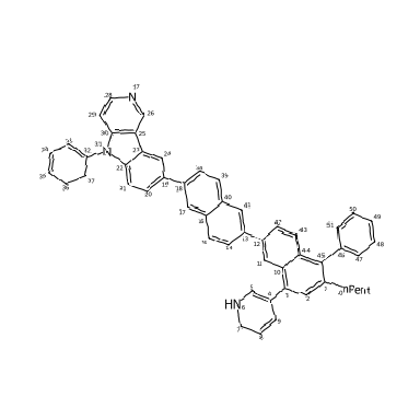 CCCCCc1cc(C2=CNCC=C2)c2cc(-c3ccc4cc(-c5ccc6c(c5)c5cnccc5n6C5=CC=CCC5)ccc4c3)ccc2c1-c1ccccc1